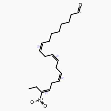 CC/C(=C\C/C=C\C/C=C\C/C=C\CCCCCC[C]=O)[N+](=O)[O-]